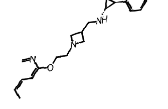 C=N/C(=C\C=C/C)OCCN1CC(CN[C@@H]2C[C@H]2c2ccccc2)C1